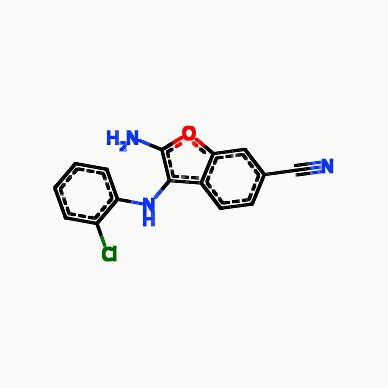 N#Cc1ccc2c(Nc3ccccc3Cl)c(N)oc2c1